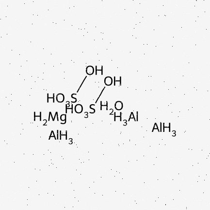 O.O=S(=O)(O)O.O=S(=O)(O)O.[AlH3].[AlH3].[AlH3].[MgH2]